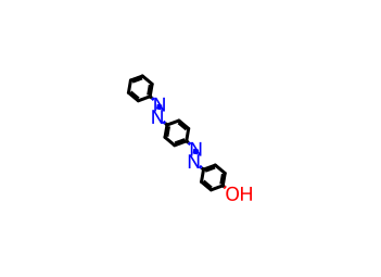 Oc1ccc(N=Nc2ccc(N=Nc3ccccc3)cc2)cc1